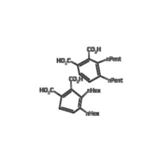 CCCCCCc1ccc(C(=O)O)c(C(=O)O)c1CCCCCC.CCCCCc1ccc(C(=O)O)c(C(=O)O)c1CCCCC